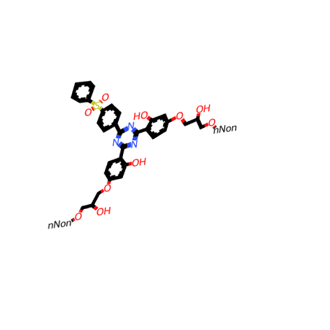 CCCCCCCCCOCC(O)COc1ccc(-c2nc(-c3ccc(S(=O)(=O)c4ccccc4)cc3)nc(-c3ccc(OCC(O)COCCCCCCCCC)cc3O)n2)c(O)c1